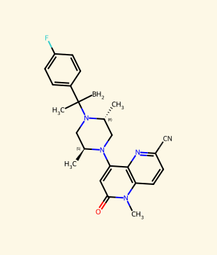 BC(C)(c1ccc(F)cc1)N1C[C@H](C)N(c2cc(=O)n(C)c3ccc(C#N)nc23)C[C@H]1C